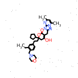 CCc1cc(CCC2(C3CCCC3)CC(O)=C(Cc3nc4nc(C)cc(C)n4n3)C(=O)O2)ccc1CN1CCOCC1